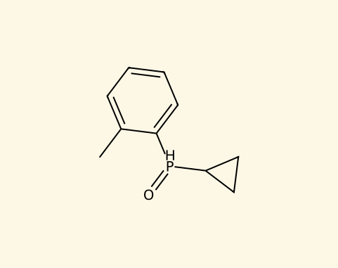 Cc1ccccc1[PH](=O)C1CC1